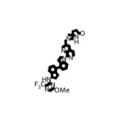 COc1cnc(C(F)(F)F)c(NC2CCc3c(-c4cccc5c4ccn5-c4nccc5cc(CN6CC7(CCC(=O)N7)C6)cnc45)cccc32)n1